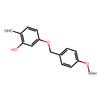 CCCCCCCCCCOc1ccc(COc2ccc(C=O)c(O)c2)cc1